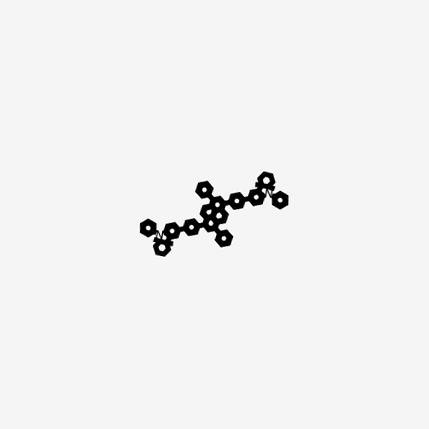 CC12CCCCC1(C)N(c1ccccc1)c1ccc(-c3ccc(-c4cc(-c5ccccc5)c5ccc6c(-c7ccc(-c8ccc9c(c8)C8(C)CCCCC8(C)N9c8ccccc8)cc7)cc(-c7ccccc7)c7ccc4c5c76)cc3)cc12